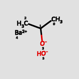 CC(C)[O-].[Ba+2].[OH-]